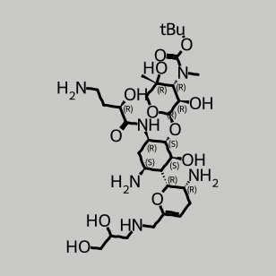 CN(C(=O)OC(C)(C)C)[C@@H]1[C@@H](O)[C@@H](O[C@H]2[C@H](NC(=O)[C@H](O)CCN)C[C@H](N)C([C@H]3OC(CNCC(O)CO)=CC[C@H]3N)[C@@H]2O)OC[C@]1(C)O